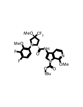 COc1c(N2C[C@](OC)(C(F)(F)F)C[C@@H]2C(=O)Nc2cn(C(=O)OC(C)(C)C)c3c(OC)nccc23)ccc(F)c1F